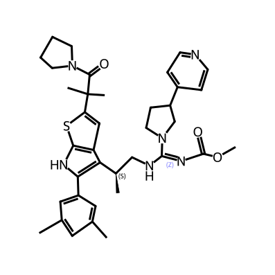 COC(=O)/N=C(/NC[C@@H](C)c1c(-c2cc(C)cc(C)c2)[nH]c2sc(C(C)(C)C(=O)N3CCCC3)cc12)N1CCC(c2ccncc2)C1